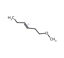 [CH2]C/C=C/CCOC